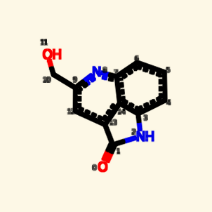 O=C1Nc2cccc3nc(CO)cc1c23